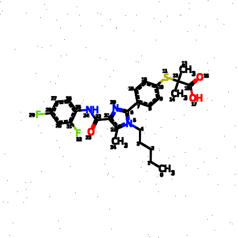 CCCCCn1c(-c2ccc(SC(C)(C)C(=O)O)cc2)nc(C(=O)Nc2ccc(F)cc2F)c1C